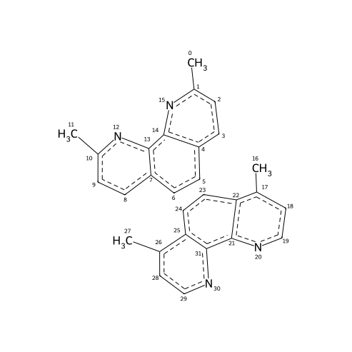 Cc1ccc2ccc3ccc(C)nc3c2n1.Cc1ccnc2c1ccc1c(C)ccnc12